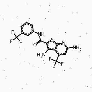 Nc1cc(C(F)(F)F)c2c(N)c(C(=O)Nc3cccc(C(F)(F)F)c3)sc2n1